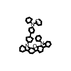 c1ccc(N(c2ccccc2)c2ccc(-c3ccc(-n4c5ccccc5c5ccc6c7ccc8c9ccccc9n(-c9ccccc9)c8c7oc6c54)cc3)cc2)cc1